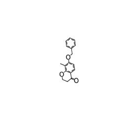 Cc1c(OCc2ccccc2)ccc2c1OCCC2=O